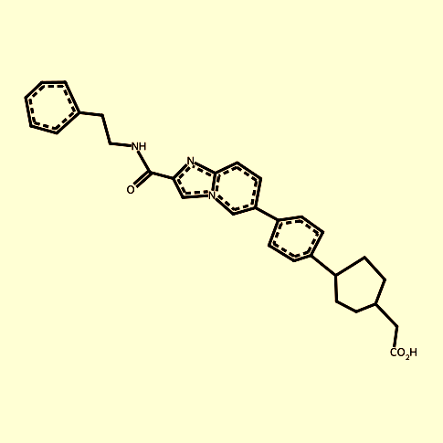 O=C(O)CC1CCC(c2ccc(-c3ccc4nc(C(=O)NCCc5ccccc5)cn4c3)cc2)CC1